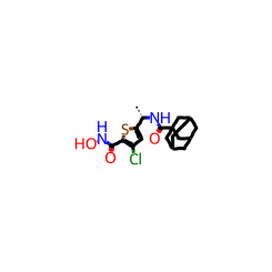 C[C@H](NC(=O)C12CC3CC(CC(C3)C1)C2)c1cc(Cl)c(C(=O)NO)s1